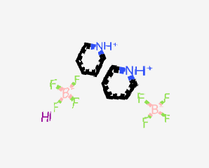 F[B-](F)(F)F.F[B-](F)(F)F.I.c1cc[nH+]cc1.c1cc[nH+]cc1